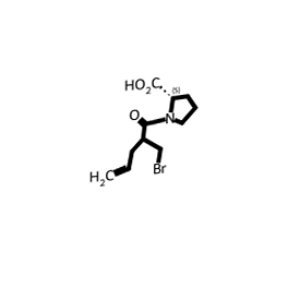 C=CCC(CBr)C(=O)N1CCC[C@H]1C(=O)O